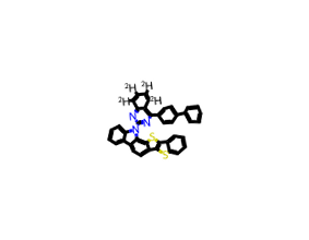 [2H]c1c([2H])c([2H])c2c(-c3ccc(-c4ccccc4)cc3)nc(-n3c4ccccc4c4ccc5c6sc7ccccc7c6sc5c43)nc2c1[2H]